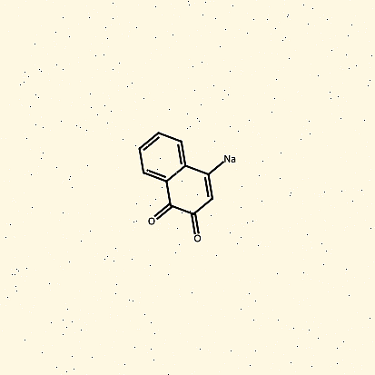 O=C1C=[C]([Na])c2ccccc2C1=O